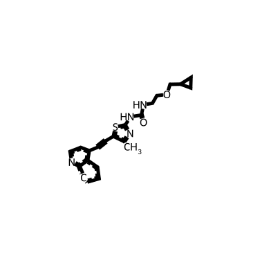 Cc1nc(NC(=O)NCCOCC2CC2)sc1C#Cc1ccnc2ccccc12